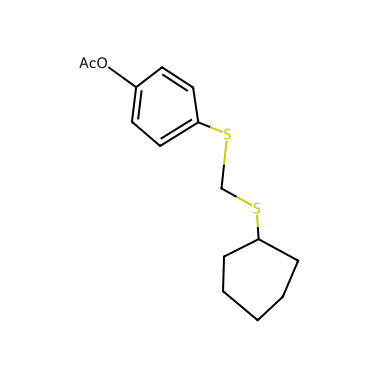 CC(=O)Oc1ccc(SCSC2CCCCC2)cc1